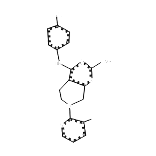 CSc1nc2c(c(Nc3ccc(C(F)(F)F)cc3)n1)CCN(c1ncccc1Cl)C2